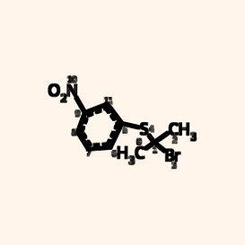 CC(C)(Br)Sc1cccc([N+](=O)[O-])c1